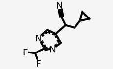 N#CC(CC1CC1)c1cnc(C(F)F)nc1